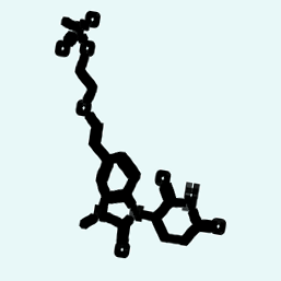 Cn1c(=O)n(C2CCC(=O)NC2=O)c2ccc(/C=C/OCCOS(C)(=O)=O)cc21